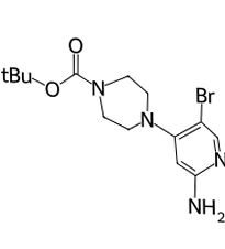 CC(C)(C)OC(=O)N1CCN(c2cc(N)ncc2Br)CC1